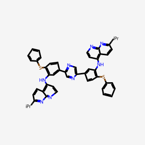 CC(C)c1ccc2c(Nc3cc(-c4cnc(-c5ccc(Sc6ccccc6)c(Nc6ccnc7nc(C(C)C)ccc67)c5)cn4)ccc3Sc3ccccc3)ccnc2n1